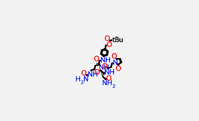 CC(C)(C)C(=O)OCc1ccc(NC(=O)[C@H](CCCNC(N)=O)NC(=O)[C@H](CC(N)=O)NC(=O)CCN2C(=O)C=CC2=O)cc1